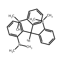 [2H]C(c1ccccc1N(C)C)(c1ccccc1N(C)C)c1ccccc1N(C)C